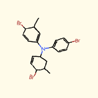 CC1C=C(N(c2ccc(Br)cc2)C2C=CC(Br)C(C)C2)C=CC1Br